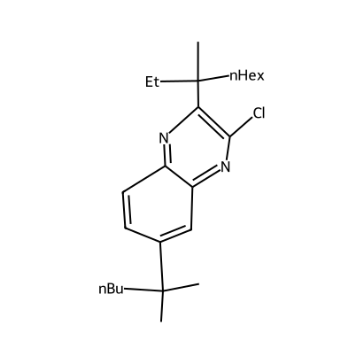 CCCCCCC(C)(CC)c1nc2ccc(C(C)(C)CCCC)cc2nc1Cl